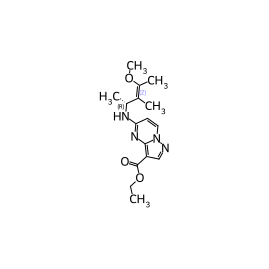 CCOC(=O)c1cnn2ccc(N[C@H](C)/C(C)=C(/C)OC)nc12